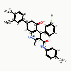 COc1ccc(NC(=O)C2=C(C)NC3=C(C(=O)CC(c4ccc(OC)c(OC)c4)C3)C2c2cccc(F)c2)cc1